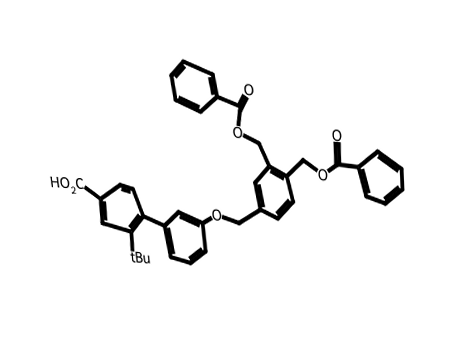 CC(C)(C)c1cc(C(=O)O)ccc1-c1cccc(OCc2ccc(COC(=O)c3ccccc3)c(COC(=O)c3ccccc3)c2)c1